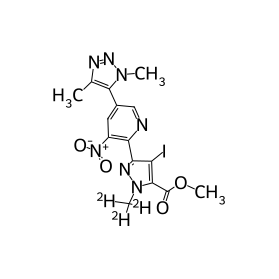 [2H]C([2H])([2H])n1nc(-c2ncc(-c3c(C)nnn3C)cc2[N+](=O)[O-])c(I)c1C(=O)OC